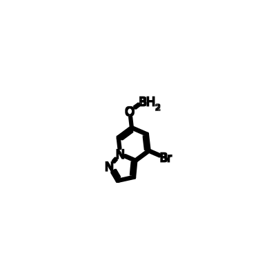 BOc1cc(Br)c2ccnn2c1